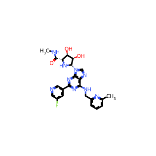 CNC(=O)[C@H]1N[C@@H](n2cnc3c(NCc4cccc(C)n4)nc(-c4cncc(F)c4)nc32)[C@H](O)[C@@H]1O